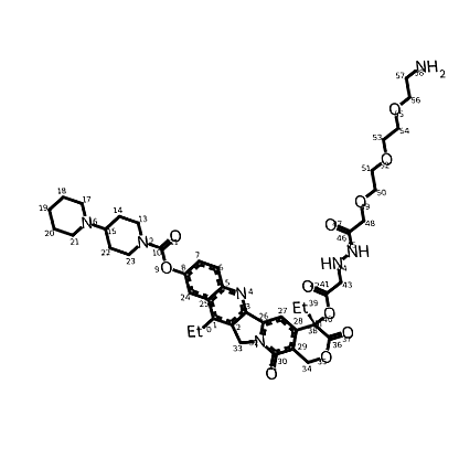 CCc1c2c(nc3ccc(OC(=O)N4CCC(N5CCCCC5)CC4)cc13)-c1cc3c(c(=O)n1C2)COC(=O)[C@@]3(CC)OC(=O)CNNC(=O)COCCOCCOCCN